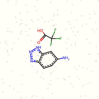 Nc1ccc2nn[nH]c2c1.O=C(O)C(F)(F)F